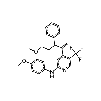 C=C(c1cc(Nc2ccc(OC)cc2)ncc1C(F)(F)F)C(CCOC)c1ccccc1